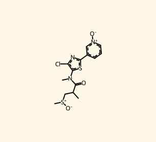 CC(C[S+](C)[O-])C(=O)N(C)c1sc(-c2ccc[n+]([O-])c2)nc1Cl